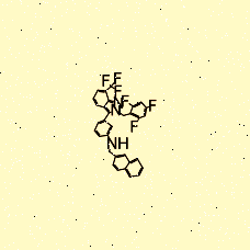 Fc1cc(F)c(Cn2nc3c(C(F)(F)F)cccc3c2-c2cccc(NCc3ccc4ccccc4c3)c2)c(F)c1